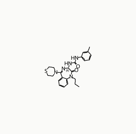 CCCN1C(=O)[C@H](NC(=O)Nc2cccc(C)c2)N=C(N2CCSCC2)c2ccccc21